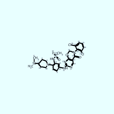 CN(C)C1CCN(c2ccc(Nc3ncc4c(n3)OCN(c3c(Cl)cccc3Cl)C4=O)cc2NS(C)(=O)=O)CC1